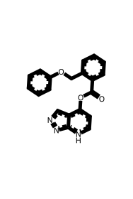 O=C(Oc1cc[nH]c2nncc1-2)c1ccccc1COc1ccccc1